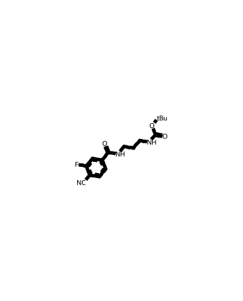 CC(C)(C)OC(=O)NCCCNC(=O)c1ccc(C#N)c(F)c1